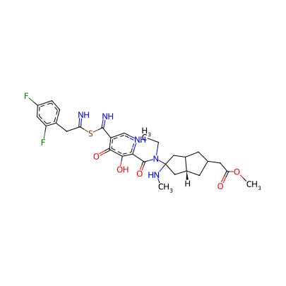 CCN(C(=O)c1[nH]cc(C(=N)SC(=N)Cc2ccc(F)cc2F)c(=O)c1O)C1(NC)CC2CC(CC(=O)OC)C[C@@H]2C1